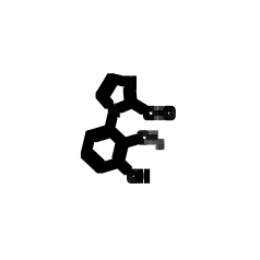 Cc1c(O)cccc1-n1ccnc1C=O